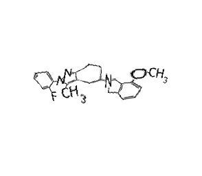 COc1cccc2c1CN(C1CCc3nn(-c4ccccc4F)c(C)c3C1)C2